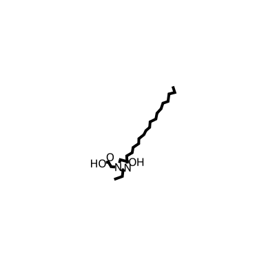 CCCCCCCCCCCCCCCCCC1(O)CN(CC(=O)O)C(CC)=N1